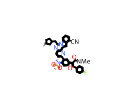 CNC(=O)c1c(-c2ccc(F)cc2)oc2cc(N(C)S(C)(=O)=O)c(-c3ccc4nc(CC5CC[C@@H](C)C5)n5c6cccc(C#N)c6cc5c4n3)cc12